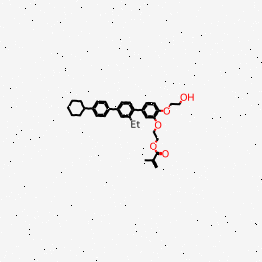 C=C(C)C(=O)OCCOc1cc(-c2ccc(-c3ccc(C4CCCCC4)cc3)cc2CC)ccc1OCCO